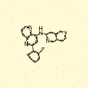 Fc1ccccc1-c1cc(Nc2cc3cnccc3cn2)c2ncccc2n1